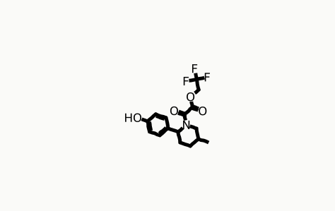 CC1CCC(c2ccc(O)cc2)N(C(=O)C(=O)OCC(F)(F)F)C1